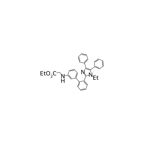 CCOC(=O)CNc1cccc(-c2ccccc2-c2nc(-c3ccccc3)c(-c3ccccc3)n2CC)c1